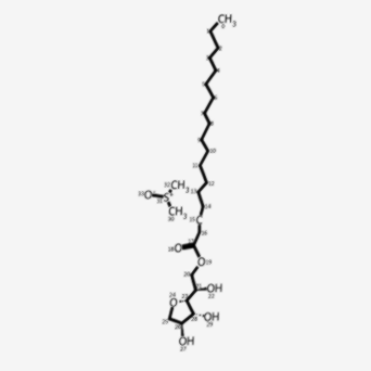 CCCCCCCCCCCCCCCCCC(=O)OC[C@@H](O)[C@H]1OC[C@H](O)[C@H]1O.C[S+](C)[O-]